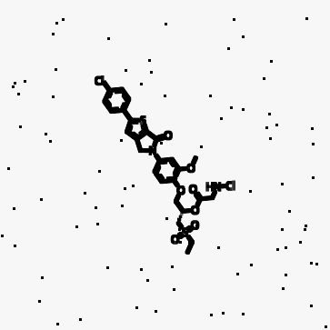 CCS(=O)(=O)C[C@H](COc1ccc(N2Cc3cc(-c4ccc(Cl)cc4)sc3C2=O)cc1OC)OC(=O)CNCl